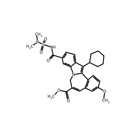 COC(=O)C1=Cc2cc(OC)ccc2-c2c(C3CCCCC3)c3ccc(C(=O)NS(=O)(=O)N(C)C)cc3n2C1